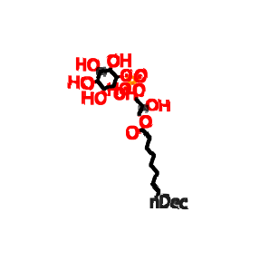 CCCCCCCCCCCCCCCCCC(=O)OC[C@@H](O)COP(=O)(O)OC1C(O)C(O)C(O)[C@@H](O)C1O